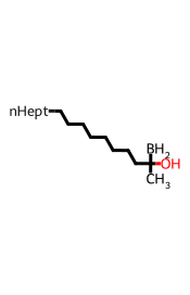 BC(C)(O)CCCCCCCCCCCCCCC